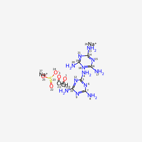 C=O.C=O.Nc1nc(N)nc(N)n1.Nc1nc(N)nc(N)n1.O=S([O-])[O-].[Na+].[Na+]